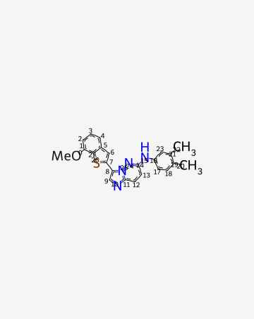 COc1cccc2cc(-c3cnc4ccc(Nc5ccc(C)c(C)c5)nn34)sc12